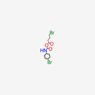 O=C(CCCBr)OC(=O)Nc1ccc(Br)cc1